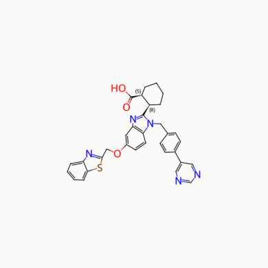 O=C(O)[C@H]1CCCC[C@H]1c1nc2cc(OCc3nc4ccccc4s3)ccc2n1Cc1ccc(-c2cncnc2)cc1